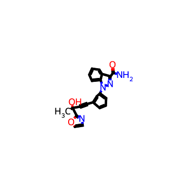 CC(O)(C#Cc1cccc(-n2nc(C(N)=O)c3ccccc32)c1)c1ncco1